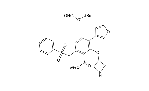 CC(C)(C)OC=O.COC(=O)c1c(CS(=O)(=O)c2ccccc2)ccc(-c2ccoc2)c1OC1CNC1